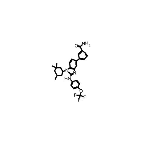 CC1CC(n2c(Nc3ccc(OC(F)(F)F)cc3)nc3cc(-c4cccc(C(N)=O)c4)ccc32)CC(C)(C)C1